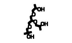 CC(O)COCC(COCC(C)(C)O)OCC(C)O